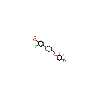 CCc1ccc(OCC2CCC(c3ccc(C4CO4)c(F)c3)CC2)c(F)c1F